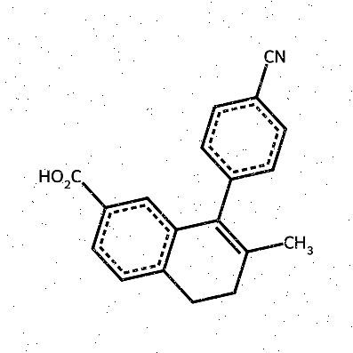 CC1=C(c2ccc(C#N)cc2)c2cc(C(=O)O)ccc2CC1